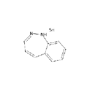 C1=Cc2ccccc2NN=C1.[Sn]